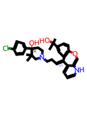 CC(C)(O)c1ccc2c(c1)/C(=C\CCN1CC[C@](O)(c3ccc(Cl)cc3)C(C)(C)C1)C1=CC=CNC1=CO2